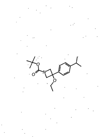 CCOC1(c2ccc(C(C)C)cc2)CN(C(=O)OC(C)(C)C)C1